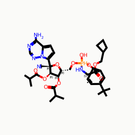 CC(C)C(=O)O[C@H]1[C@@H](OC(=O)C(C)C)[C@](C#N)(c2ccc3c(N)ncnn23)O[C@@H]1CO[PH](O)(N[C@@H](C)C(=O)OCC1CCC1)Oc1ccc(C(C)(C)C)cc1